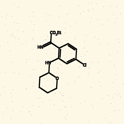 CCOC(=O)C(=N)c1ccc(Cl)cc1NC1CCCCO1